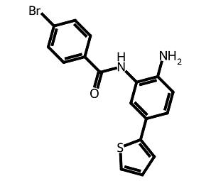 Nc1ccc(-c2cccs2)cc1NC(=O)c1ccc(Br)cc1